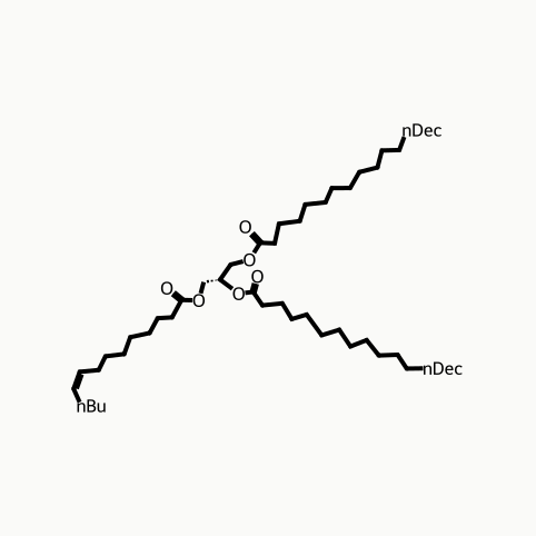 CCCC/C=C\CCCCCCCC(=O)OC[C@H](COC(=O)CCCCCCCCCCCCCCCCCCCCC)OC(=O)CCCCCCCCCCCCCCCCCCCCC